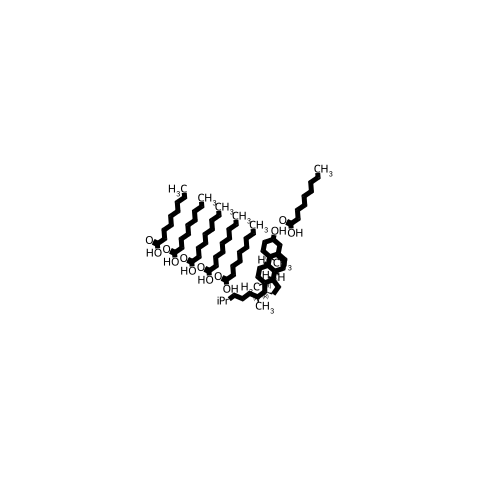 CC(C)CCC[C@@H](C)[C@H]1CC[C@H]2[C@@H]3CC=C4CC(O)CC[C@]4(C)[C@H]3CC[C@]12C.CCCCCCCCC(=O)O.CCCCCCCCC(=O)O.CCCCCCCCC(=O)O.CCCCCCCCC(=O)O.CCCCCCCCC(=O)O.CCCCCCCCC(=O)O